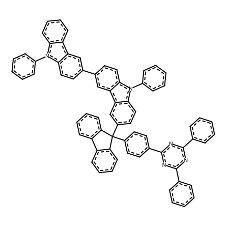 c1ccc(-c2nc(-c3ccccc3)nc(-c3ccc(C4(c5ccc6c(c5)c5cc(-c7ccc8c(c7)c7ccccc7n8-c7ccccc7)ccc5n6-c5ccccc5)c5ccccc5-c5ccccc54)cc3)n2)cc1